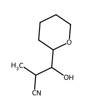 CC(C#N)C(O)C1CCCCO1